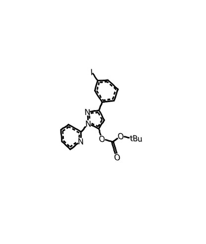 CC(C)(C)OC(=O)Oc1cc(-c2cccc(I)c2)nn1-c1ccccn1